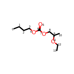 CCCCOC(=O)OCC(C)OCC